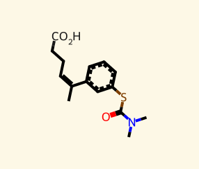 C/C(=C/CCC(=O)O)c1cccc(SC(=O)N(C)C)c1